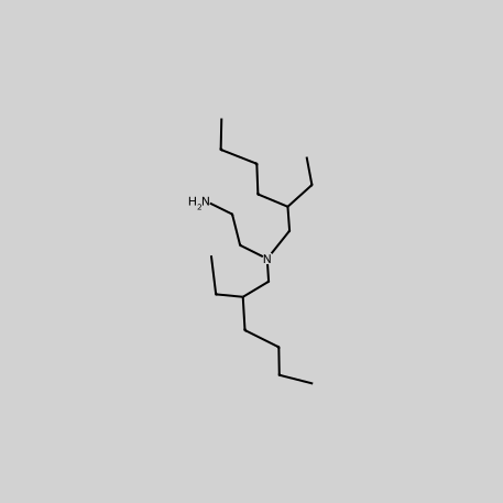 CCCCC(CC)CN(CCN)CC(CC)CCCC